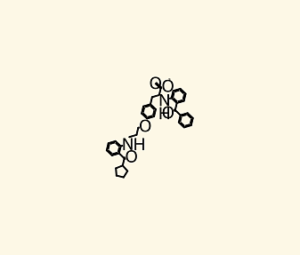 COC(=O)C(Cc1ccc(OCCCNc2ccccc2C(=O)C2CCCC2)cc1)Nc1ccccc1C(=O)c1ccccc1